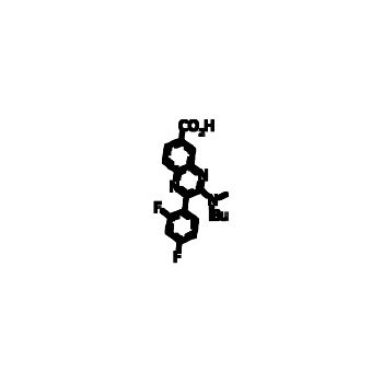 CCC(C)N(C)c1nc2cc(C(=O)O)ccc2nc1-c1ccc(F)cc1F